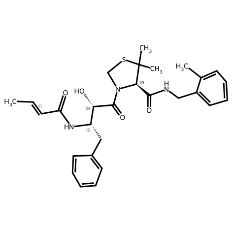 C/C=C/C(=O)N[C@@H](Cc1ccccc1)[C@H](O)C(=O)N1CSC(C)(C)[C@H]1C(=O)NCc1ccccc1C